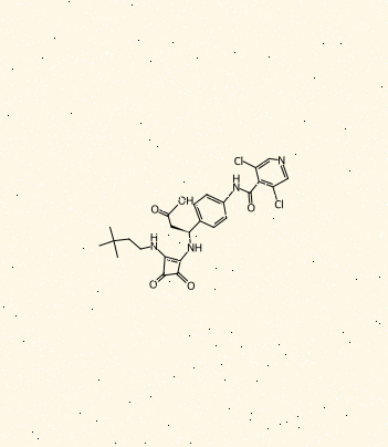 CC(C)(C)CCNc1c(N[C@@H](CC(=O)O)c2ccc(NC(=O)c3c(Cl)cncc3Cl)cc2)c(=O)c1=O